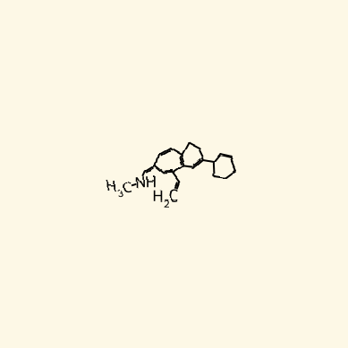 C=CC1=C/C(=C\NC)C=CC2=C1C=C(C1CCCCC1)CC2